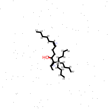 C/C=[C](/C(O)CC/C=C\CCCCC)[Sn]([CH2]CCC)([CH2]CCC)[CH2]CCC